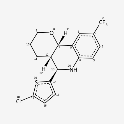 FC(F)(F)c1ccc2c(c1)[C@H]1OCCC[C@H]1[C@H](c1ccc(Cl)s1)N2